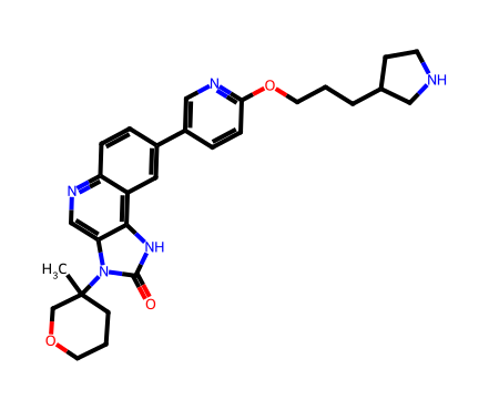 CC1(n2c(=O)[nH]c3c4cc(-c5ccc(OCCCC6CCNC6)nc5)ccc4ncc32)CCCOC1